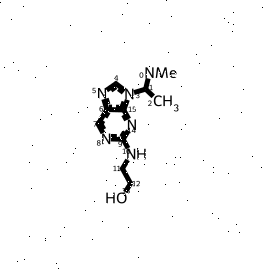 CNC(C)n1cnc2cnc(NCCO)nc21